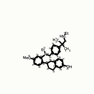 CCNCC(C)(C)c1ccc(CN(CC)c2cc(OC)ccc2C2CCc3cc(O)ccc3C2)cc1